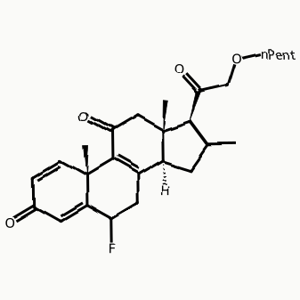 CCCCCOCC(=O)[C@H]1C(C)C[C@H]2C3=C(C(=O)C[C@@]21C)[C@@]1(C)C=CC(=O)C=C1C(F)C3